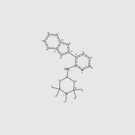 CN1C(C)(C)CC(Nc2nnccc2-c2cc3ccccc3s2)CC1(C)C